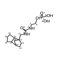 O=C(NCCOP(=O)(O)O)NCC12CCC(C1)C1CCCC12